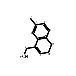 Cc1ccc2c(c1)C(CC#N)=CCC2